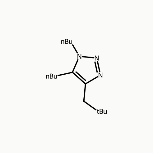 CCCCc1c(CC(C)(C)C)nnn1CCCC